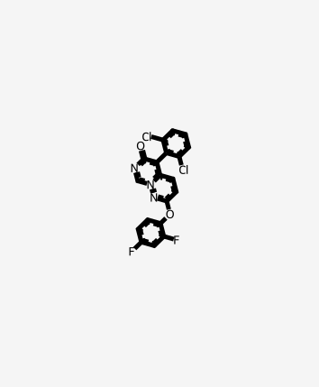 O=c1ncn2nc(Oc3ccc(F)cc3F)ccc2c1-c1c(Cl)cccc1Cl